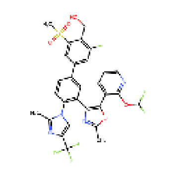 Cc1nc(-c2cc(-c3cc(F)c(CO)c(S(C)(=O)=O)c3)ccc2-n2cc(C(F)(F)F)nc2C)c(-c2cccnc2OC(F)F)o1